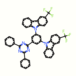 FC(F)(F)c1ccc2c(c1)c1ccccc1n2-c1cc(-c2nc(-c3ccccc3)nc(-c3ccccc3)n2)cc(-n2c3ccccc3c3cc(C(F)(F)F)ccc32)c1